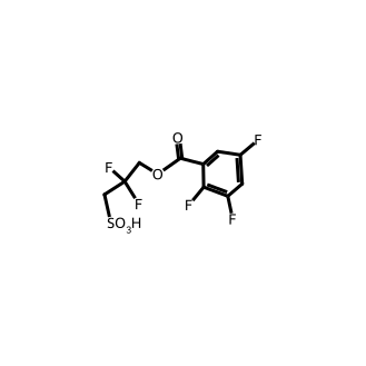 O=C(OCC(F)(F)CS(=O)(=O)O)c1cc(F)cc(F)c1F